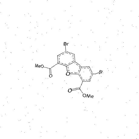 COC(=O)c1cc(Br)cc2c1oc1c(C(=O)OC)cc(Br)cc12